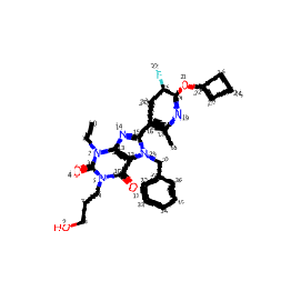 CCn1c(=O)n(CCCO)c(=O)c2c1nc(C1=C(C)N=C(OC3CCC3)C(F)C1)n2CC1=C=C=CC=C1